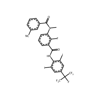 CN(C(=O)c1cccc(C#N)c1)c1cccc(C(=O)Nc2c(I)cc(C(F)(C(F)(F)F)C(F)(F)F)cc2I)c1F